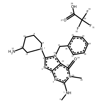 CNc1nc2nc(N3CCCC(N)C3)n(Cc3ccccc3)c2c(=O)n1C.O=C(O)C(F)(F)F